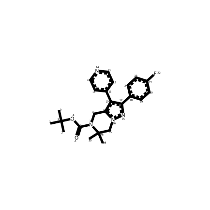 CC(C)(C)OC(=O)N1Cc2c(-c3ccncc3)c(-c3ccc(F)cc3)nn2CC1(C)C